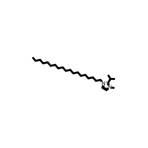 CCCCCCCCCCCCCCCCCCC[n+]1ccn(C)c1C(C)C